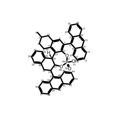 CC1CCc2c(cc(-c3c4ccccc4cc4ccccc34)c3c2[C@H]2c4ccccc4CC(c4c5ccccc5cc5ccccc45)C2OP(=O)(O)O3)C1